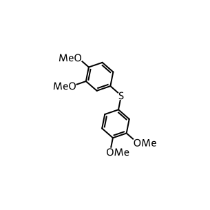 COc1ccc(Sc2ccc(OC)c(OC)c2)cc1OC